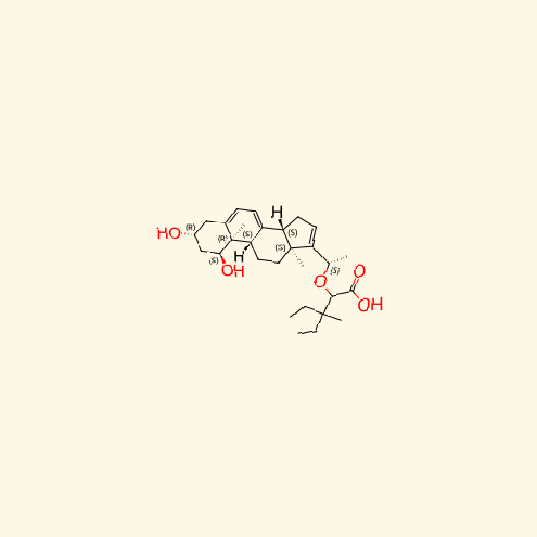 CCC(C)(CC)C(O[C@@H](C)C1=CC[C@H]2C3=CC=C4C[C@@H](O)C[C@H](O)[C@]4(C)[C@H]3CC[C@]12C)C(=O)O